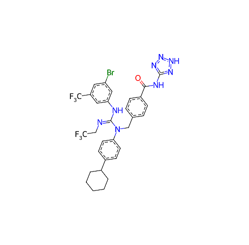 O=C(Nc1nn[nH]n1)c1ccc(CN(/C(=N\CC(F)(F)F)Nc2cc(Br)cc(C(F)(F)F)c2)c2ccc(C3CCCCC3)cc2)cc1